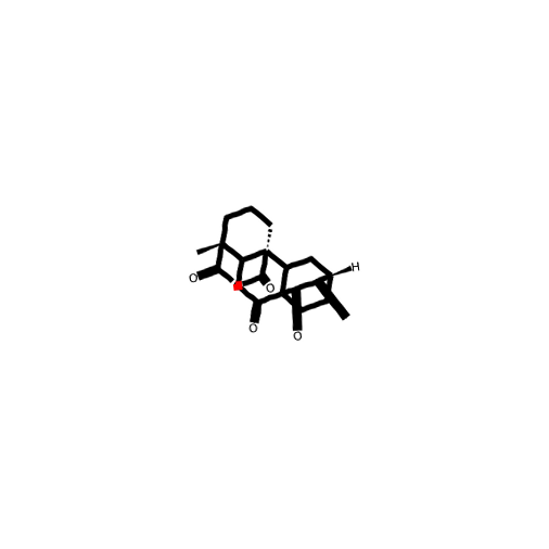 C=C1C(=O)C23CC[C@H]1CC2[C@@]12CCC[C@@](C)(C(=O)OC1=O)C2CC3=O